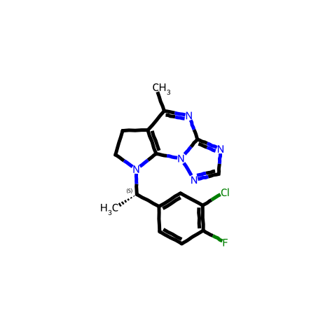 Cc1nc2ncnn2c2c1CCN2[C@@H](C)c1ccc(F)c(Cl)c1